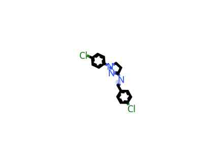 Clc1ccc(/C=N/C2=NN(c3ccc(Cl)cc3)CC2)cc1